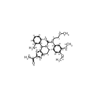 COCCN(C(=O)N1CCc2nc(C(N)=O)sc2C1c1ccccc1N)c1ccc(OC)c(OC)c1